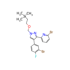 C[Si](C)(C)CCOCn1cc(-c2ccc(F)c(Br)c2)c(-c2cccc(Br)n2)n1